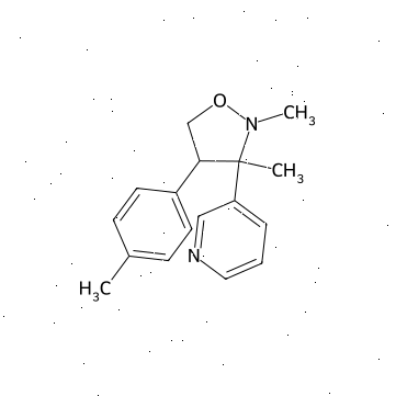 Cc1ccc(C2CON(C)C2(C)c2cccnc2)cc1